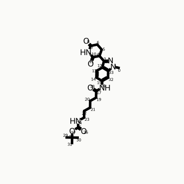 Cn1nc(C2CCC(=O)NC2=O)c2ccc(NC(=O)CCCCCNC(=O)OC(C)(C)C)cc21